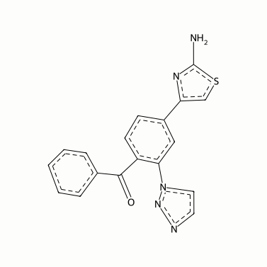 Nc1nc(-c2ccc(C(=O)c3ccccc3)c(-n3ccnn3)c2)cs1